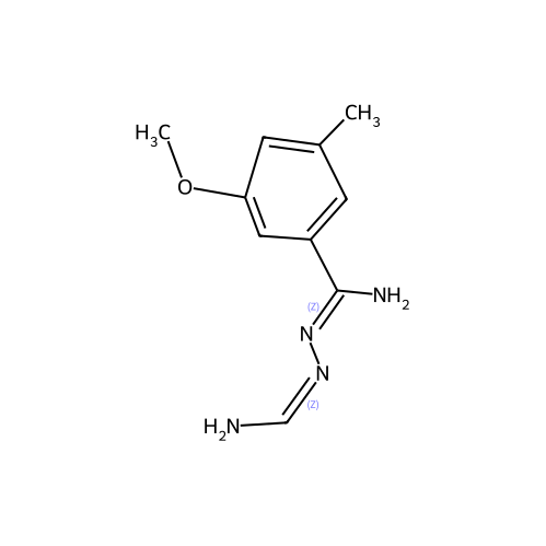 COc1cc(C)cc(/C(N)=N/N=C\N)c1